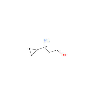 N[C@H](CCO)C1CC1